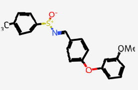 COc1cccc(Oc2ccc(/C=N/[S+]([O-])c3ccc(C)cc3)cc2)c1